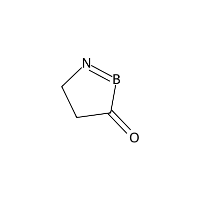 O=C1B=NCC1